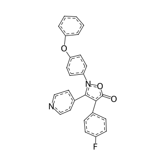 O=c1on(-c2ccc(Oc3ccccc3)cc2)c(-c2ccncc2)c1-c1ccc(F)cc1